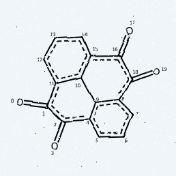 O=c1c(=O)c2cccc3c2-c2c1cccc2c(=O)c3=O